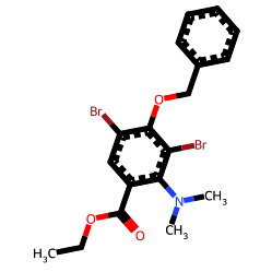 CCOC(=O)c1cc(Br)c(OCc2ccccc2)c(Br)c1N(C)C